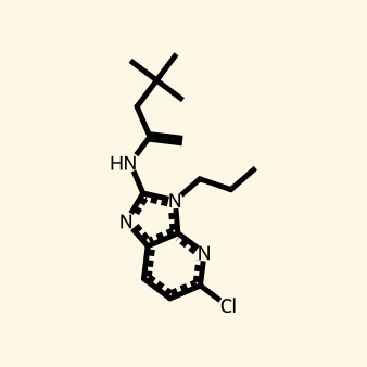 C=C(CC(C)(C)C)Nc1nc2ccc(Cl)nc2n1CCC